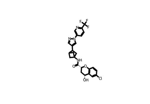 O=C(NC12CC(C1)C(c1cnn(-c3ccc(C(F)(F)F)nc3)c1)C2)[C@H]1C[C@@H](O)c2cc(Cl)ccc2O1